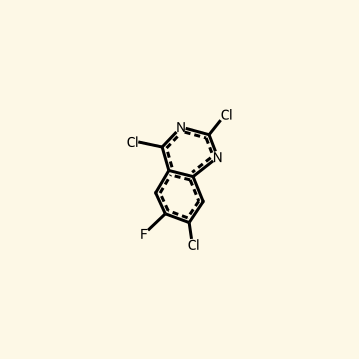 Fc1cc2c(Cl)nc(Cl)nc2cc1Cl